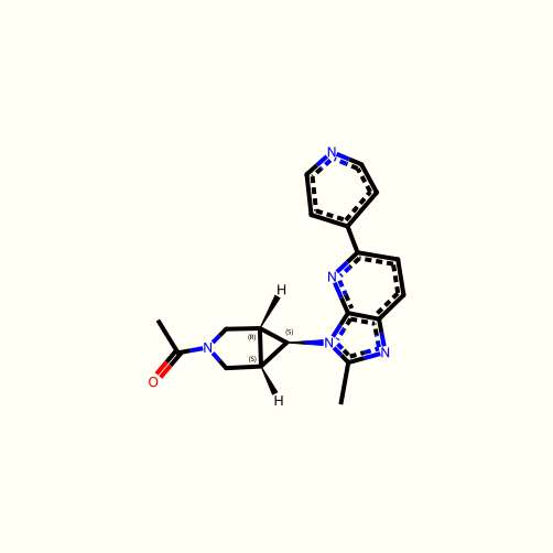 CC(=O)N1C[C@@H]2[C@H](C1)[C@H]2n1c(C)nc2ccc(-c3ccncc3)nc21